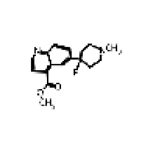 COC(=O)c1ccnc2ccc(C3(F)CCN(C)CC3)cc12